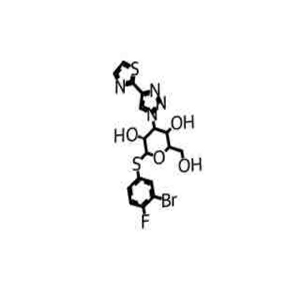 OCC1OC(Sc2ccc(F)c(Br)c2)[C@@H](O)C(n2cc(-c3nccs3)nn2)C1O